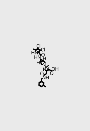 Cc1cccc(CNC(=O)Cc2nc(N3C[C@@H]4[C@H](C3)[C@H]4NC(=O)c3[nH]c(C)c(Cl)c3Cl)sc2C(=O)O)c1